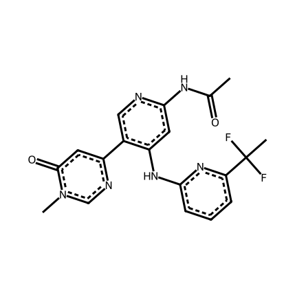 CC(=O)Nc1cc(Nc2cccc(C(C)(F)F)n2)c(-c2cc(=O)n(C)cn2)cn1